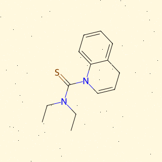 CCN(CC)C(=S)N1C=CCc2ccccc21